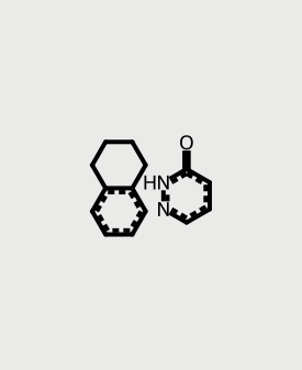 O=c1cccn[nH]1.c1ccc2c(c1)CCCC2